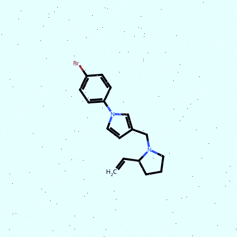 C=CC1CCCN1Cc1ccn(-c2ccc(Br)cc2)c1